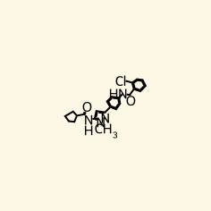 Cn1nc(-c2ccc(NC(=O)c3ccccc3Cl)cc2)cc1NC(=O)C1CCCC1